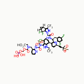 CN(C(=O)N(c1nn(CC(F)(F)F)c2c(-c3ccc(C#CC(C)(C)S(C)(=O)=O)nc3[C@H](Cc3cc(F)cc(F)c3)NC(=O)Cn3nc(C(F)(F)F)c4c3C(F)(F)[C@@H]3C[C@H]43)ccc(Cl)c12)S(C)(=O)=O)c1ncccc1CN(CC(=O)O)C(=O)OCOP(=O)(O)O